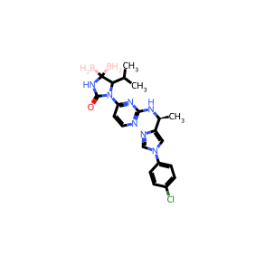 BC1(B)NC(=O)N(c2ccnc(N[C@@H](C)c3cn(-c4ccc(Cl)cc4)cn3)n2)C1C(C)C